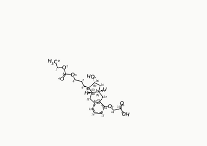 CCOC(=O)OCCC[C@@H]1[C@H]2Cc3cccc(OCC(=O)O)c3C[C@H]2C[C@H]1O